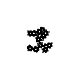 c1ccc(-c2cccc(-c3nc(-c4cc5ccccc5c5ccccc45)nc(-c4ccc(-n5c6cc7ccccc7cc6c6cc7ccccc7cc65)c5c4oc4cc6ccccc6cc45)n3)c2)cc1